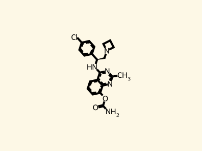 Cc1nc(N[C@H](CN2CCC2)c2ccc(Cl)cc2)c2cccc(OC(N)=O)c2n1